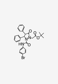 CC(C)(C)OC(=O)CN1C(=O)C(c2ccccc2)C(c2ccccc2)N1C(=O)Nc1ccc(Br)cc1